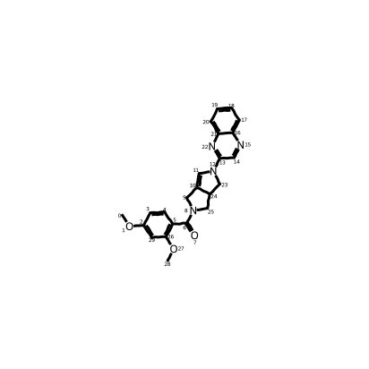 COc1ccc(C(=O)N2CC3=CN(c4cnc5ccccc5n4)CC3C2)c(OC)c1